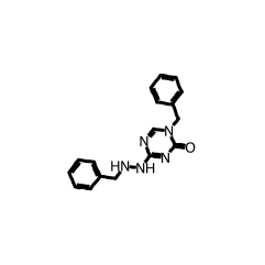 O=c1nc(NNCc2ccccc2)ncn1Cc1ccccc1